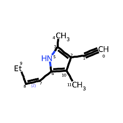 C#Cc1c(C)[nH]c(/C=C\CC)c1C